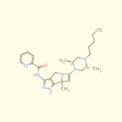 C[C@@H]1CN(C2=CC3(C)c4[nH]nc(NC(=O)c5ccccn5)c4CN23)[C@@H](C)CN1CCCCC#N